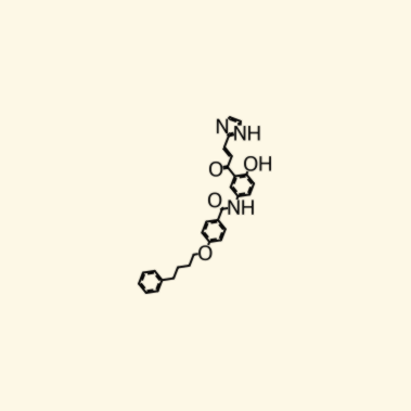 O=C(Nc1ccc(O)c(C(=O)/C=C/c2ncc[nH]2)c1)c1ccc(OCCCCc2ccccc2)cc1